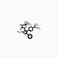 CC(C)C1CC=C(c2c(-c3ccccc3)nn(C)c2C(OC(C)(C)C)C(=O)O)CC1